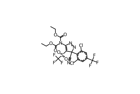 CCOC(=O)N(C(=O)OCC)C1=C(S(=O)(=O)C(F)(F)F)C(C#N)(c2c(Cl)cc(C(F)(F)F)cc2Cl)N=N1